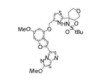 COc1cc(OCc2csc(C3(NS(=O)(=O)C(C)(C)C)CCOCC3)n2)c2cc(-c3cnc4sc(OC)nn34)oc2c1